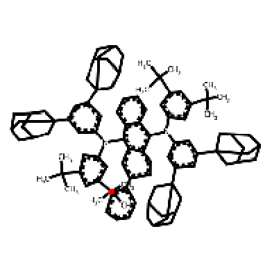 CC(C)(C)c1cc(N(c2cc(C34CC5CC(CC(C5)C3)C4)cc(C34CC5CC(CC(C5)C3)C4)c2)c2c3ccccc3c(N(c3cc(C(C)(C)C)cc(C(C)(C)C)c3)c3cc(C45CC6CC(CC(C6)C4)C5)cc(C45CC6CC(CC(C6)C4)C5)c3)c3cc(-c4ccccc4)ccc23)cc(C(C)(C)C)c1